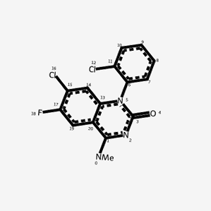 CNc1nc(=O)n(-c2ccccc2Cl)c2cc(Cl)c(F)cc12